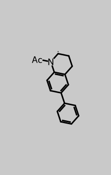 CC(=O)N1[CH]CCc2cc(-c3ccccc3)ccc21